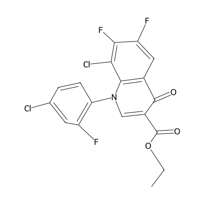 CCOC(=O)c1cn(-c2ccc(Cl)cc2F)c2c(Cl)c(F)c(F)cc2c1=O